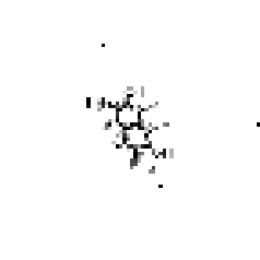 Nc1c(O)c(F)c2c(F)c(O)c(N)c(F)c2c1F